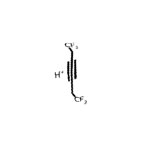 FC(F)(F)C#CC(F)(F)F.[H+]